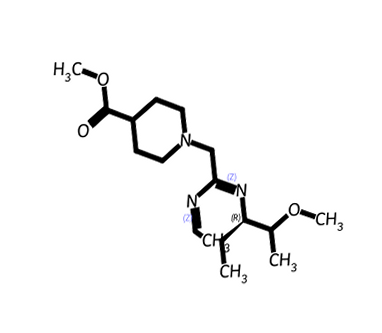 C/C=N\C(CN1CCC(C(=O)OC)CC1)=N/[C@H](CC)C(C)OC